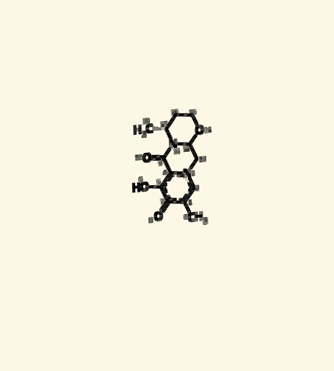 Cc1cn2c(c(O)c1=O)C(=O)N1C(C2)OCC[C@H]1C